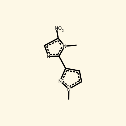 Cn1ccc(-c2ncc([N+](=O)[O-])n2C)n1